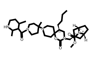 CCCC[C@H]1CN(C[C@@H]2C[C@H]3CC[C@@H](C2)N3C(=O)OC)C(=O)OC12CCN(C1(C)CCN(C(=O)C3C(C)CCNC3C)CC1)CC2